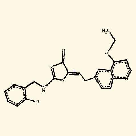 CCOc1ccnc2ccc(C/C=C3\SC(NCc4ccccc4Cl)=NC3=O)cc12